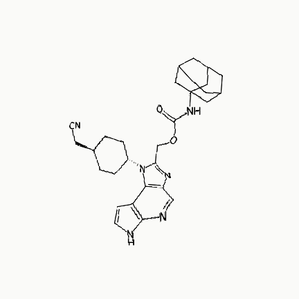 N#CC[C@H]1CC[C@H](n2c(COC(=O)NC34CC5CC(CC(C5)C3)C4)nc3cnc4[nH]ccc4c32)CC1